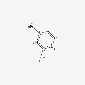 CCCc1ccnc(CCC)n1